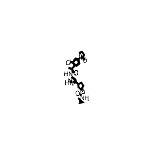 CC(C(=O)Nc1cc(C2CC[C@@H](OC(=O)NC3(C)CC3)C2)[nH]n1)c1ccc(N2CCCC2=O)cc1Cl